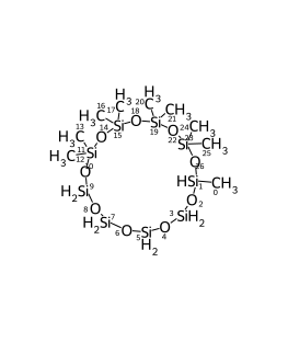 C[SiH]1O[SiH2]O[SiH2]O[SiH2]O[SiH2]O[Si](C)(C)O[Si](C)(C)O[Si](C)(C)O[Si](C)(C)O1